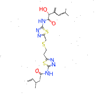 C=CC(C)CC(=O)Nc1nnc(CCSCc2nnc(NC(=O)C(O)C(=C)C=C(C)C)s2)s1